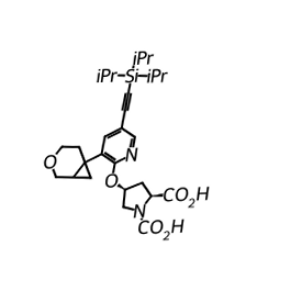 CC(C)[Si](C#Cc1cnc(O[C@H]2C[C@@H](C(=O)O)N(C(=O)O)C2)c(C23CCOCC2C3)c1)(C(C)C)C(C)C